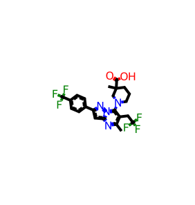 Cc1nc2cc(-c3ccc(C(F)(F)F)cc3)nn2c(N2CCCC(C)(C(=O)O)C2)c1CC(F)(F)F